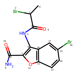 CC(Br)C(=O)Nc1c(C(N)=O)oc2ccc(Br)cc12